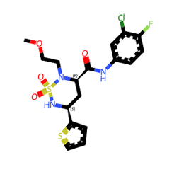 COCCN1[C@@H](C(=O)Nc2ccc(F)c(Cl)c2)C[C@@H](c2cccs2)NS1(=O)=O